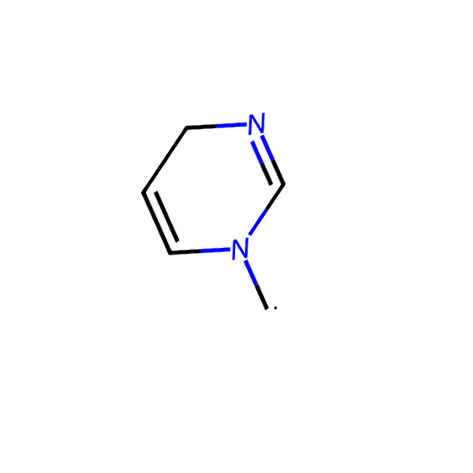 [CH2]N1C=CCN=C1